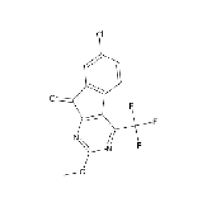 COc1nc2c(c(C(F)(F)F)n1)-c1ccc(Cl)cc1C2=O